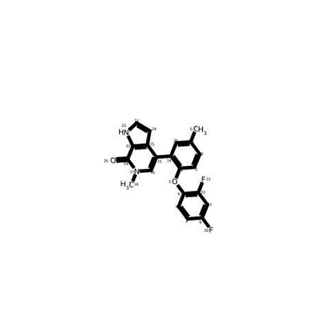 Cc1ccc(Oc2ccc(F)cc2F)c(-c2cn(C)c(=O)c3[nH]ccc23)c1